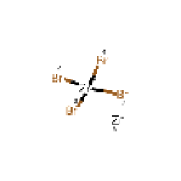 [Br][Zr]([Br])([Br])[Br].[Zr]